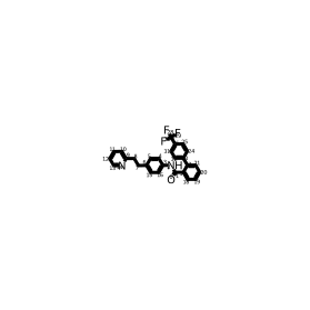 O=C(Nc1ccc(CCc2ccccn2)cc1)c1ccccc1-c1ccc(C(F)(F)F)cc1